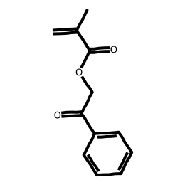 C=C(C)C(=O)OCC(=O)c1ccccc1